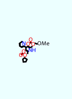 COCCOC(=O)OC1=C(C)NC(C)=C(OC(=O)OC2CCCC2)C1c1ccccn1